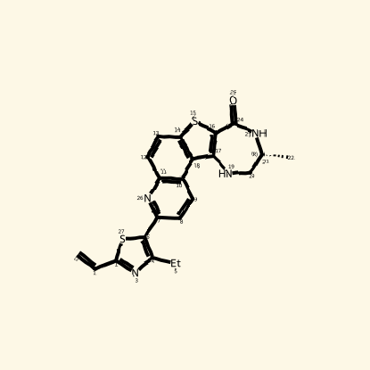 C=Cc1nc(CC)c(-c2ccc3c(ccc4sc5c(c43)NC[C@@H](C)NC5=O)n2)s1